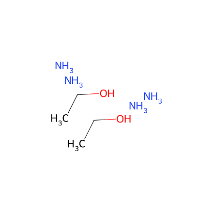 CCO.CCO.N.N.N.N